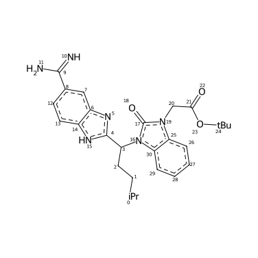 CC(C)CCC(c1nc2cc(C(=N)N)ccc2[nH]1)n1c(=O)n(CC(=O)OC(C)(C)C)c2ccccc21